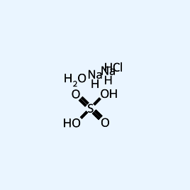 Cl.O.O=S(=O)(O)O.[NaH].[NaH]